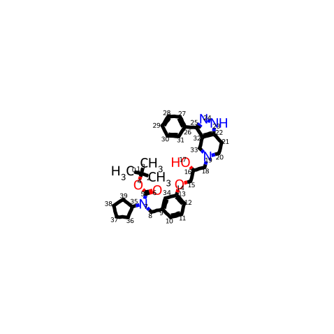 CC(C)(C)OC(=O)N(Cc1cccc(OCC(O)CN2CCc3[nH]nc(-c4ccccc4)c3C2)c1)C1CCCC1